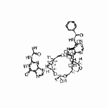 CC(C)C(=O)Nc1nc2c(ncn2[C@@H]2S[C@@H]3COP(=O)(OCCC#N)O[C@H]4[C@H]5OC[C@]4(COP(O)(=S)O[C@@H]2[C@@H]3C)O[C@H]5n2cnc3c(NC(=O)c4ccccc4)ncnc32)c(=O)[nH]1